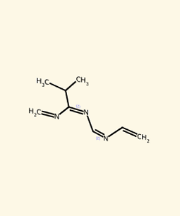 C=C/N=C\N=C(/N=C)C(C)C